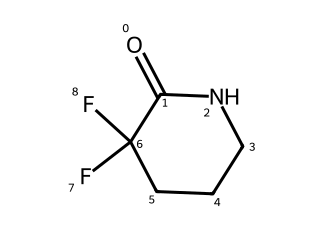 O=C1NCCCC1(F)F